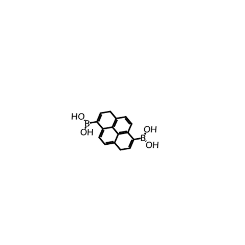 OB(O)C1=CCc2ccc3c4c(ccc1c24)CC=C3B(O)O